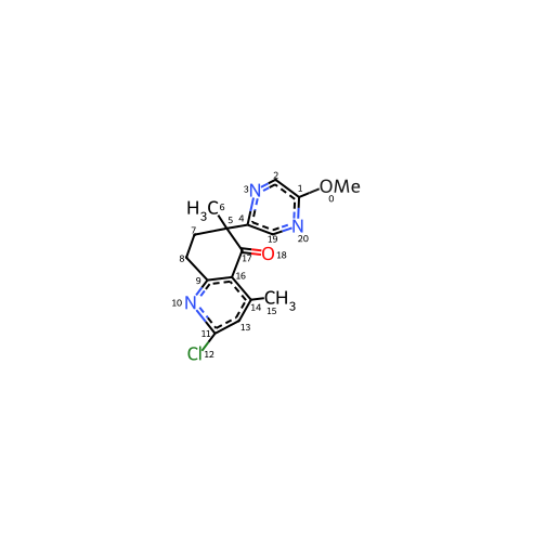 COc1cnc(C2(C)CCc3nc(Cl)cc(C)c3C2=O)cn1